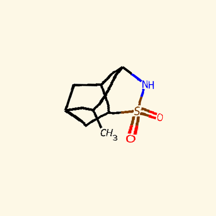 CC1C2CC3C1NS(=O)(=O)C3C2